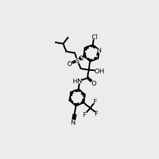 CC(C)CCS(=O)(=O)CC(O)(C(=O)Nc1ccc(C#N)c(C(F)(F)F)c1)c1ccc(Cl)nc1